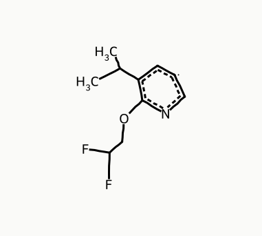 CC(C)c1c[c]cnc1OCC(F)F